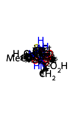 C=C[C@@H]1C[C@]1(NC(=O)[C@@H]1C[C@@H](Oc2cc(-c3csc(NC(=O)CC)n3)nc3c(C)c(OC)ccc23)CN1C(=O)[C@@H](NC(=O)OC1CCCC1)C(=C)C)C(=O)O